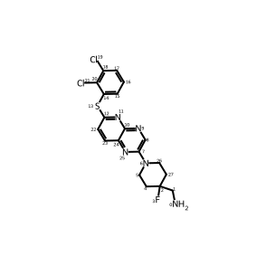 NCC1(F)CCN(c2cnc3nc(Sc4cccc(Cl)c4Cl)ccc3n2)CC1